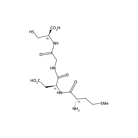 CSCC[C@H](N)C(=O)N[C@@H](CC(=O)O)C(=O)NCC(=O)N[C@@H](CS)C(=O)O